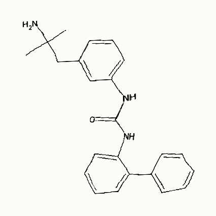 CC(C)(N)Cc1cccc(NC(=O)Nc2ccccc2-c2ccccc2)c1